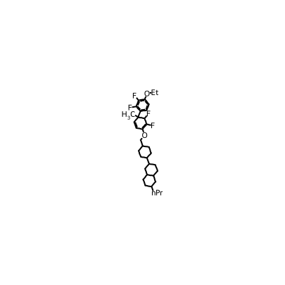 CCCC1CCC2CC(C3CCC(COC4=C(F)C(F)C(C)(c5ccc(OCC)c(F)c5F)C=C4)CC3)CCC2C1